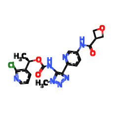 C[C@@H](OC(=O)Nc1c(-c2ccc(NC(=O)C3COC3)cn2)nnn1C)c1cccnc1Cl